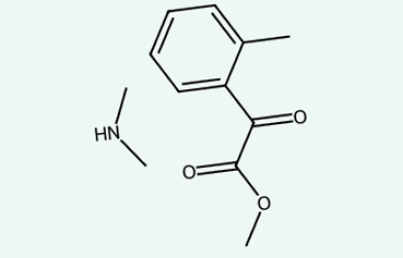 CNC.COC(=O)C(=O)c1ccccc1C